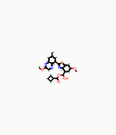 COc1cc(C(O)OC(=O)C2CCC2)c2nc(-c3cc(C)cc4nc(OC)cnc34)sc2c1